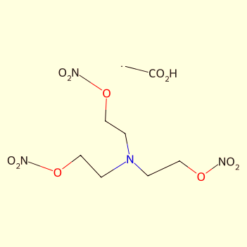 O=[N+]([O-])OCCN(CCO[N+](=O)[O-])CCO[N+](=O)[O-].[CH2]C(=O)O